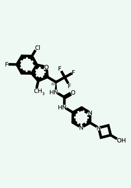 Cc1c([C@H](NC(=O)Nc2cnc(N3CC(O)C3)nc2)C(F)(F)F)oc2c(Cl)cc(F)cc12